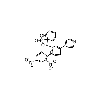 O=[N+]([O-])c1ccc(-[n+]2ccc(-c3ccncc3)cc2CC2(P(=O)(O)O)C=CC=CC2)c([N+](=O)[O-])c1